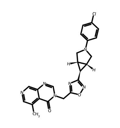 Cc1cncc2ncn(Cc3nc([C@H]4[C@@H]5CN(c6ccc(Cl)cc6)C[C@@H]54)no3)c(=O)c12